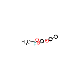 CCCC[C@H](F)C(=O)O[C@H]1CC[C@H](COc2ccc(C3CC[CH]CC3)cc2)CC1